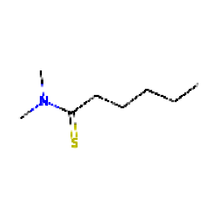 CCCCCC(=S)N(C)C